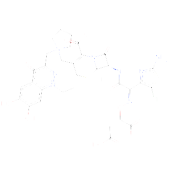 CCn1nc(C[N+]2(CC3=C(C(=O)O)N4C(=O)[C@@H](NC(=O)/C(=N\O[C@@H](CC(=O)O)C(=O)O)c5nc(N)sc5Cl)[C@H]4SC3)CCCC2)c(=O)c2cc(O)c(O)cc21